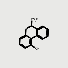 CCOC(=O)C1Oc2cccc(O)c2-c2ccccc21